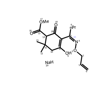 C=CCO/N=C(/CCC)C1=C(O)CC(C)(C)C(C(=O)OC)C1=O.[NaH]